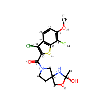 CC1(O)NC2(CCN(C(=O)c3sc4c(F)c(OC(F)(F)F)ccc4c3Cl)C2)CO1